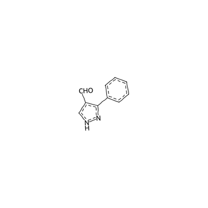 O=Cc1c[nH]nc1-c1ccccc1